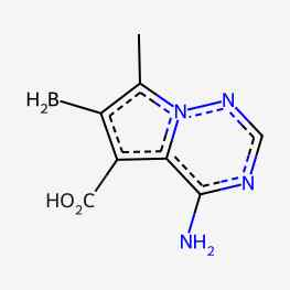 Bc1c(C(=O)O)c2c(N)ncnn2c1C